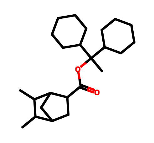 CC1C2CC(C(=O)OC(C)(C3CCCCC3)C3CCCCC3)C(C2)C1C